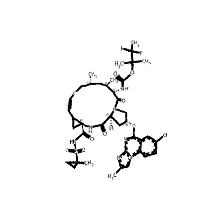 Cc1cn2c(n1)nc(O[C@@H]1C[C@H]3C(=O)N[C@]4(C(=O)NS(=O)(=O)C5(C)CC5)CC4/C=C\CC[C@H](C)C[C@@H](C)[C@H](NC(=O)OC(C)(C)C(C)(F)F)C(=O)N3C1)c1cc(Cl)ccc12